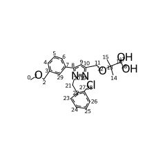 COCc1cccc(-c2cc(COC(C)(C)C(O)O)nn2Cc2ccccc2Cl)c1